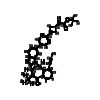 [2H]C([2H])([2H])N1C(=O)c2cccc(C#CC)c2[C@H]2C[C@@H]1c1nc3ccc(-c4cnc(N5CC(NC(=O)OC(C)(C)C)C5)nc4)cc3n12